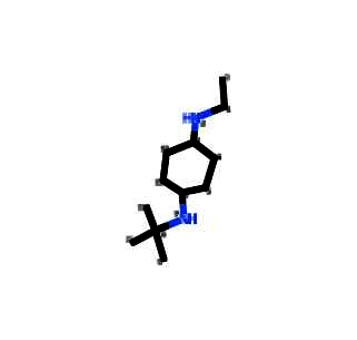 CCNC1CCC(NC(C)(C)C)CC1